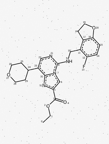 CCOC(=O)c1cn2c(NCc3c(F)ccc4c3CCO4)ncc(C3CCOCC3)c2n1